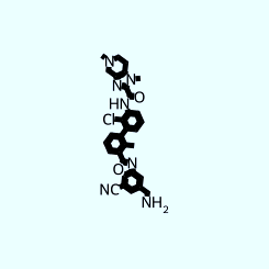 Cc1c(-c2nc3cc(CN)cc(C#N)c3o2)cccc1-c1cccc(NC(=O)c2nc3c(n2C)CCN(C)C3)c1Cl